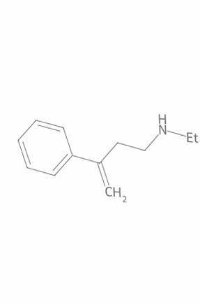 C=C(CCNCC)c1ccccc1